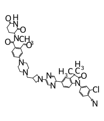 CN(C(=O)c1ccc(N2CCN(CC3CN(c4cnc(-c5ccc6c(c5)C(C)(C)C(=O)N6c5ccc(C#N)c(Cl)c5)cn4)C3)CC2)cc1C=O)C1CCC(=O)NC1=O